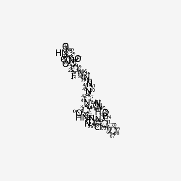 COc1cc(N2CCC(N3CCN(CN4CCN(c5cc6c(cc5F)C(=O)N(C5CCC(=O)NC5=O)C6=O)CC4)CC3)CC2)c(-c2cnn(C)c2)cc1Nc1ncc(Cl)c(Nc2ccc(-c3ccccc3)cc2P(C)(C)=O)n1